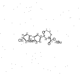 CC(C)(C)OC(=O)N1CCCOC(c2ccc(Nc3cccc(Cl)c3)cc2)C1